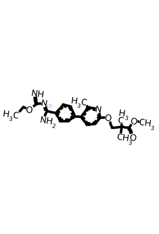 CCOC(=N)/N=C(\N)c1ccc(-c2ccc(OCC(C)(C)C(=O)OC)nc2C)cc1